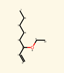 C=CC(CCCCC)OCC